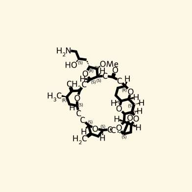 C=C1C2C[C@@H]3O[C@H](C[C@H](O)CN)[C@H](OC)[C@H]3CC(=O)C[C@H]3CC[C@@H]4OC5[C@H]6O[C@]7(CC[C@H]8CC(=C)[C@H](CC[C@@H](C[C@H]1C)O2)O8)C[C@H]6O[C@@H]5[C@@H](O7)[C@H]4O3